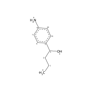 [CH2]CCC(O)c1ccc(N)cc1